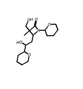 CC1(CO)C(=O)N(C2CCCCO2)C1CC(O)C1CCCCO1